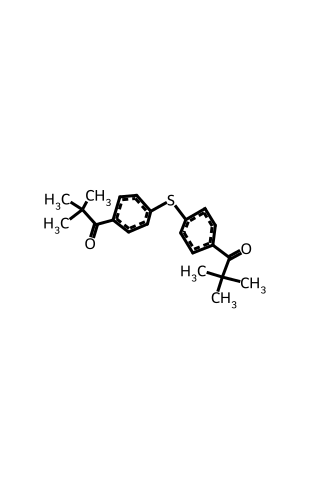 CC(C)(C)C(=O)c1ccc(Sc2ccc(C(=O)C(C)(C)C)cc2)cc1